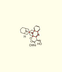 COC(=O)C(=NO)c1nc2ccccc2n(C2CC3CCC[C@H](C2)N3C2CC3CCCC(C3)C2)c1=O